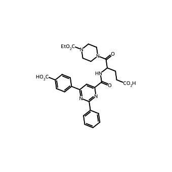 CCOC(=O)N1CCN(C(=O)C(CCC(=O)O)NC(=O)c2cc(-c3ccc(C(=O)O)cc3)nc(-c3ccccc3)n2)CC1